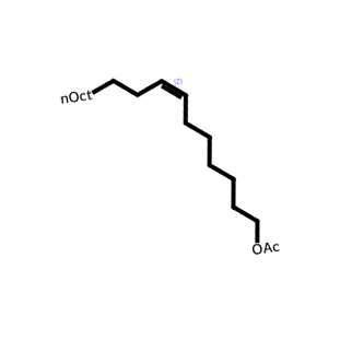 CCCCCCCCCC/C=C\CCCCCCOC(C)=O